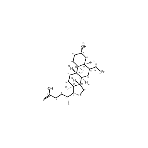 C=C(O)CC[C@@H](C)[C@H]1CC[C@H]2[C@@H]3CC(NC(C)C)[C@@H]4C[C@H](O)CC[C@]4(C)[C@H]3CC[C@]12C